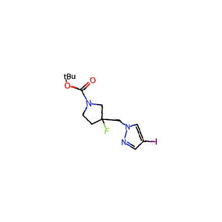 CC(C)(C)OC(=O)N1CCC(F)(Cn2cc(I)cn2)C1